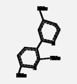 CNc1ccnc(-c2ccc(NC)nc2NC)c1